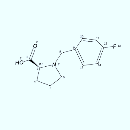 O=C(O)[C@@H]1CCCN1Cc1ccc(F)cc1